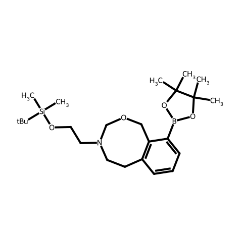 CC1(C)OB(c2cccc3c2COCN(CCO[Si](C)(C)C(C)(C)C)CC3)OC1(C)C